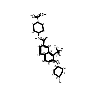 CC(N[C@H]1CC[C@@H](C(=O)O)CC1)c1ccc2ccc(O[C@H]3CC[C@@H](C)CC3)c(C(F)(F)F)c2c1